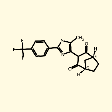 Cc1sc(-c2ccc(C(F)(F)F)cc2)nc1C1C(=O)[C@@H]2CC[C@@H](C2)C1=O